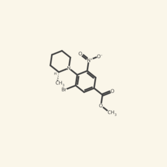 COC(=O)c1cc(Br)c(N2CCCC[C@H]2C)c([N+](=O)[O-])c1